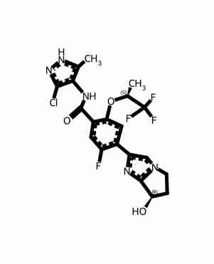 Cc1[nH]nc(Cl)c1NC(=O)c1cc(F)c(-c2cn3c(n2)[C@H](O)CC3)cc1O[C@@H](C)C(F)(F)F